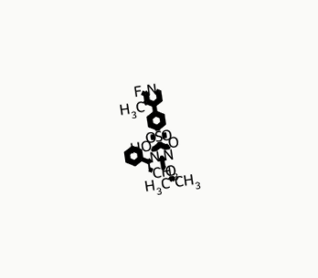 CC[C@@H](c1ccccc1)n1c(COC(C)C)nc(=O)c(S(=O)(=O)c2ccc(-c3ccnc(F)c3C)cc2)c1O